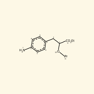 CCOC(=O)C(Cc1ccc(N)cc1)OC(C)C